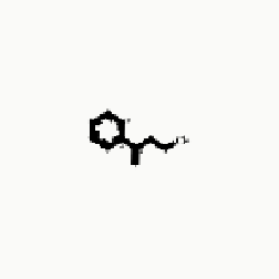 C=C(CCCl)c1ccccc1